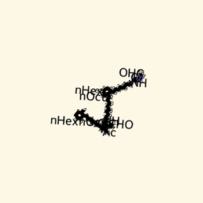 CCCCCCCCC1C(CCCCCC)CCC(C)C1CCCCCCCCN(C(C)=O)C(CC=O)C(=O)NCCCCCCCCC1C(CCCCCCCCNC(=O)/C=C\C=O)CCC(CCCCCC)C1CCCCCCCC